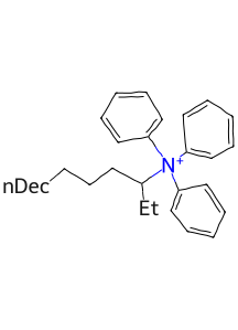 CCCCCCCCCCCCCC(CC)[N+](c1ccccc1)(c1ccccc1)c1ccccc1